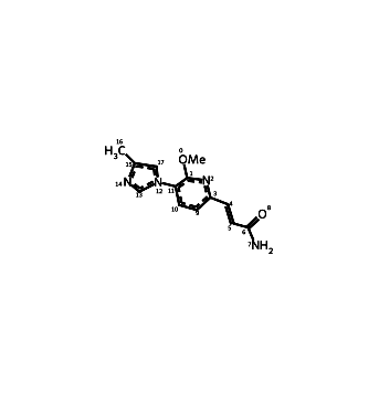 COc1nc(C=CC(N)=O)ccc1-n1cnc(C)c1